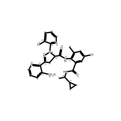 Cc1cc(Cl)cc(C(=O)NC(C)C2CC2)c1NC(=O)C1CC(c2ncccc2S(=O)(=O)O)=NN1c1ncccc1Cl